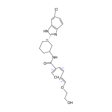 C\C=C(/C=C\C=C\OCCO)C(=O)NC1CCC[C@H](c2nc3ccc(Cl)cc3[nH]2)C1